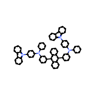 c1ccc(N(c2ccc(-n3c4ccccc4c4ccccc43)cc2)c2cccc(-c3c4ccccc4c(-c4cccc(N(c5ccccc5)c5ccc(-n6c7ccccc7c7ccccc76)cc5)c4)c4ccccc34)c2)cc1